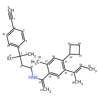 C#Cc1ccc(C(C)(CC)CCNC(=C)c2cc(/C(C)=C/C)c(C3CCC3)cc2C)cc1